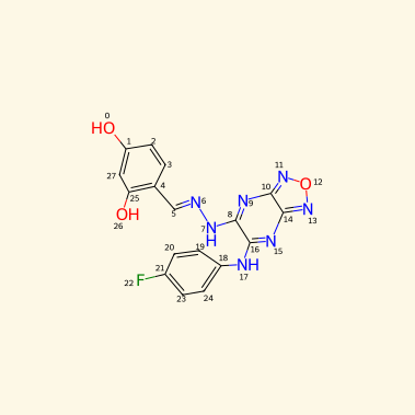 Oc1ccc(C=NNc2nc3nonc3nc2Nc2ccc(F)cc2)c(O)c1